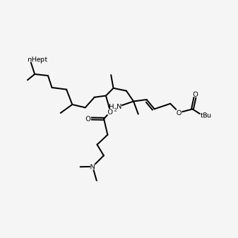 CCCCCCCC(C)CCCC(C)CCC(OC(=O)CCCN(C)C)C(C)CC(C)(N)/C=C/COC(=O)C(C)(C)C